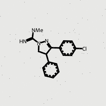 CNC(=N)N1CC(c2ccccc2)C(c2ccc(Cl)cc2)=N1